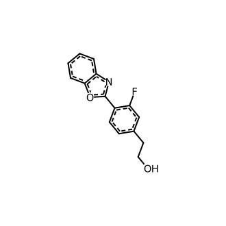 OCCc1ccc(-c2nc3ccccc3o2)c(F)c1